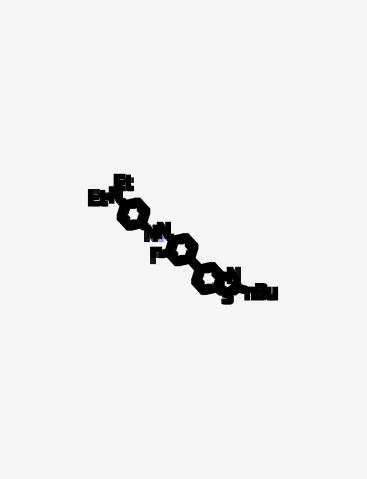 CCCCc1nc2cc(-c3ccc(/N=N/c4ccc(N(CC)CC)cc4)c(F)c3)ccc2s1